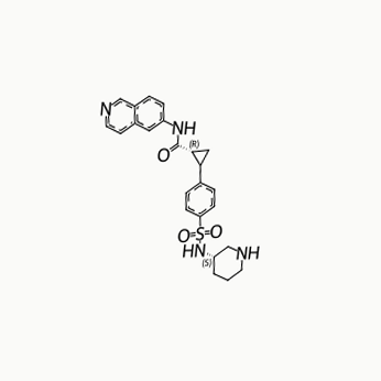 O=C(Nc1ccc2cnccc2c1)[C@@H]1CC1c1ccc(S(=O)(=O)N[C@H]2CCCNC2)cc1